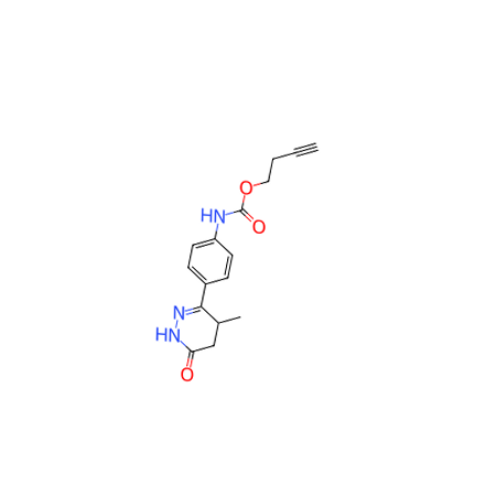 C#CCCOC(=O)Nc1ccc(C2=NNC(=O)CC2C)cc1